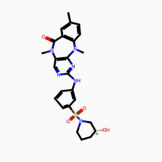 Cc1ccc2c(c1)C(=O)N(C)c1cnc(Nc3cccc(S(=O)(=O)N4CCC[C@@H](O)C4)c3)nc1N2C